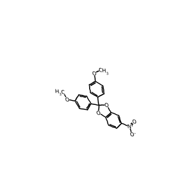 COc1ccc(C2(c3ccc(OC)cc3)Oc3ccc([N+](=O)[O-])cc3O2)cc1